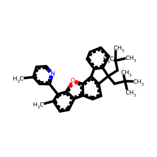 Cc1ccnc(-c2c(C)ccc3c2oc2c4c(ccc23)C(CC(C)(C)C)(CC(C)(C)C)c2ccccc2-4)c1